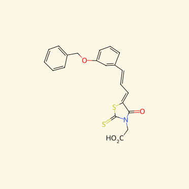 O=C(O)CN1C(=O)C(=CC=Cc2cccc(OCc3ccccc3)c2)SC1=S